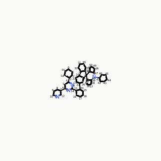 c1ccc(-c2cc(-c3cccnc3)nc(-c3ccccc3-c3ccc4c(c3)C3(c5ccccc5-4)c4ccccc4N(c4ccccc4)c4ccccc43)n2)cc1